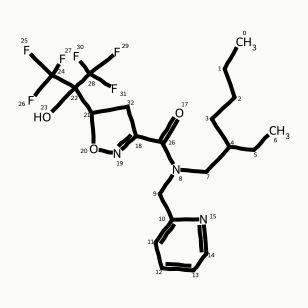 CCCCC(CC)CN(Cc1ccccn1)C(=O)C1=NOC(C(O)(C(F)(F)F)C(F)(F)F)C1